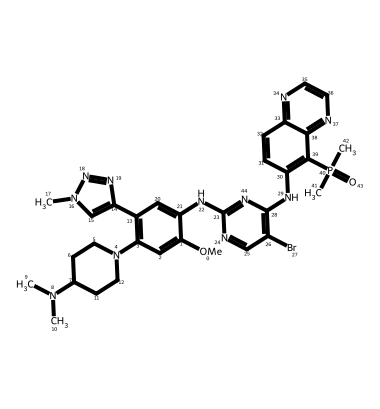 COc1cc(N2CCC(N(C)C)CC2)c(-c2cn(C)nn2)cc1Nc1ncc(Br)c(Nc2ccc3nccnc3c2P(C)(C)=O)n1